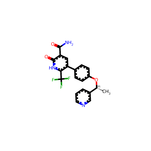 C[C@@H](Oc1ccc(-c2cc(C(N)=O)c(=O)[nH]c2C(F)(F)F)cc1)c1cccnc1